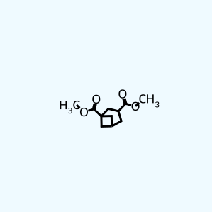 COC(=O)C1CC2CC(C(=O)OC)(C2)C1